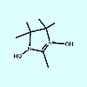 CC1=[N+](O)C(C)(C)C(C)(C)N1O